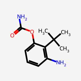 CC(C)(C)c1c(N)cccc1OC(N)=O